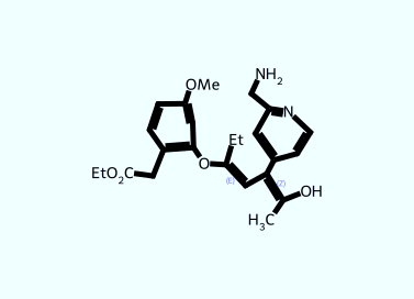 CCOC(=O)Cc1ccc(OC)cc1O/C(=C/C(=C(\C)O)c1ccnc(CN)c1)CC